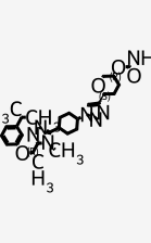 CC(C)c1cccc(O[C@H](C)c2nnc(C3CCC(n4cc([C@@H]5CC[C@@H](OC(N)=O)CO5)nn4)CC3)n2C)c1